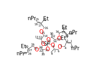 CCCC=C(CC)COCC(C)O[Si](OC(C)COCC(=CCCC)CC)(OC(C)COCC(=CCCC)CC)OC(C)COCC(=CCCC)CC